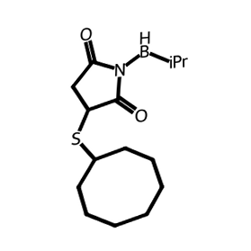 CC(C)BN1C(=O)CC(SC2CCCCCCC2)C1=O